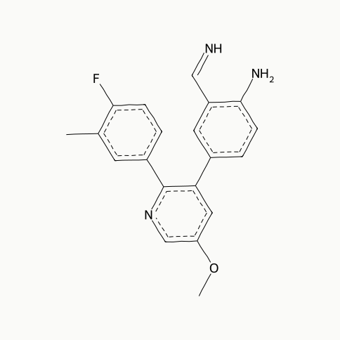 COc1cnc(-c2ccc(F)c(C)c2)c(-c2ccc(N)c(C=N)c2)c1